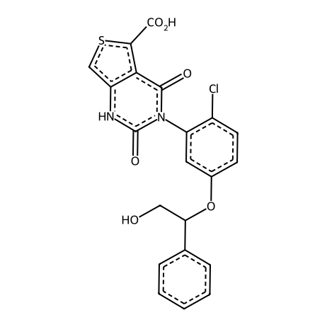 O=C(O)c1scc2[nH]c(=O)n(-c3cc(OC(CO)c4ccccc4)ccc3Cl)c(=O)c12